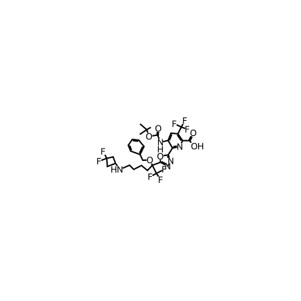 CC(C)(C)OC(=O)Nc1cc(C(F)(F)F)c(C(=O)O)nc1-c1nnc(C(CCCCNC2CC(F)(F)C2)(OCc2ccccc2)C(F)(F)F)o1